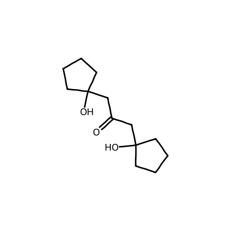 O=C(CC1(O)CCCC1)CC1(O)CCCC1